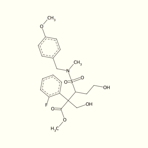 COC(=O)C(CO)(c1ccccc1F)C(CCO)S(=O)(=O)N(C)Cc1ccc(OC)cc1